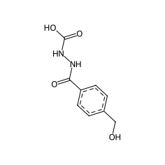 O=C(O)NNC(=O)c1ccc(CO)cc1